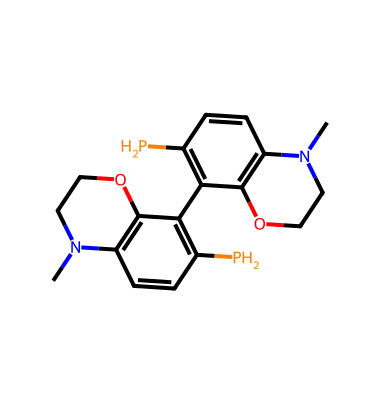 CN1CCOc2c1ccc(P)c2-c1c(P)ccc2c1OCCN2C